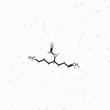 C=CCCC(CCCC)OC=O